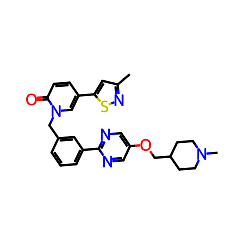 Cc1cc(-c2ccc(=O)n(Cc3cccc(-c4ncc(OCC5CCN(C)CC5)cn4)c3)c2)sn1